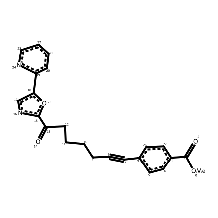 COC(=O)c1ccc(C#CCCCCC(=O)c2ncc(-c3ccccn3)o2)cc1